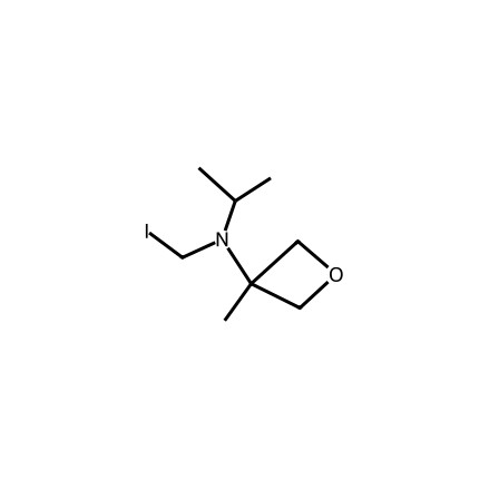 CC(C)N(CI)C1(C)COC1